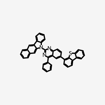 c1ccc(-c2nc(-n3c4ccccc4c4cc5ccccc5cc43)nc3ccc(-c4cccc5c4sc4ccccc45)cc23)cc1